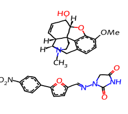 COc1ccc2c3c1O[C@H]1[C@@H](O)C=C[C@H]4[C@@H](C2)N(C)CC[C@@]341.O=C1CN(N=Cc2ccc(-c3ccc([N+](=O)[O-])cc3)o2)C(=O)N1